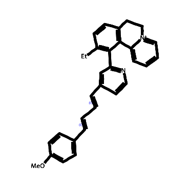 CCc1ccc2c(c1-c1cc(/C=C/C=C/c3ccc(OC)cc3)ccn1)-c1cccc[n+]1CC2